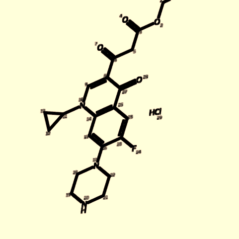 CCOC(=O)CC(=O)c1cn(C2CC2)c2cc(N3CCNCC3)c(F)cc2c1=O.Cl